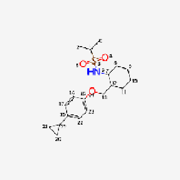 CC(C)S(=O)(=O)NC1CCCCC1COc1ccc(C2CC2)cc1